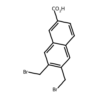 O=C(O)c1ccc2cc(CBr)c(CBr)cc2c1